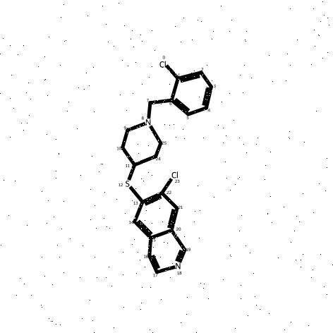 Clc1ccccc1CN1CCC(Sc2cc3ccncc3cc2Cl)CC1